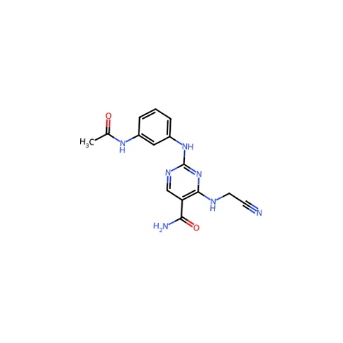 CC(=O)Nc1cccc(Nc2ncc(C(N)=O)c(NCC#N)n2)c1